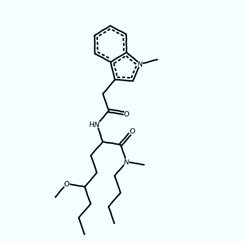 CCCCN(C)C(=O)C(CCC(CCC)OC)NC(=O)Cc1cn(C)c2ccccc12